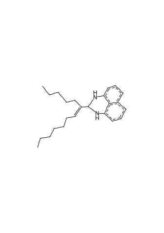 CCCCCCC=C(CCCCC)C1Nc2cccc3cccc(c23)N1